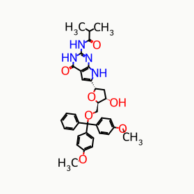 COc1ccc(C(OC[C@H]2O[C@H](c3cc4c(=O)[nH]c(NC(=O)C(C)C)nc4[nH]3)C[C@@H]2O)(c2ccccc2)c2ccc(OC)cc2)cc1